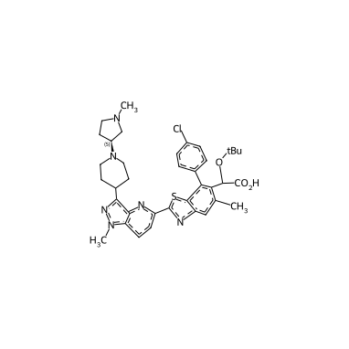 Cc1cc2nc(-c3ccc4c(n3)c(C3CCN([C@H]5CCN(C)C5)CC3)nn4C)sc2c(-c2ccc(Cl)cc2)c1C(OC(C)(C)C)C(=O)O